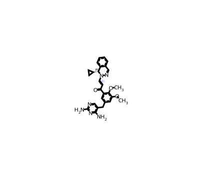 COc1cc(Cc2cnc(N)nc2N)cc(C(=O)/C=C/N2N=Cc3ccccc3[C@H]2C2CC2)c1OC